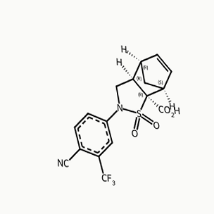 N#Cc1ccc(N2C[C@H]3[C@H]4C=C[C@H](C4)[C@@]3(C(=O)O)S2(=O)=O)cc1C(F)(F)F